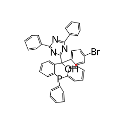 OC(c1ccc(Br)cc1)(c1nc(-c2ccccc2)nc(-c2ccccc2)n1)c1ccccc1P(c1ccccc1)c1ccccc1